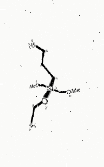 CO[Si](CCCS)(OC)OCS